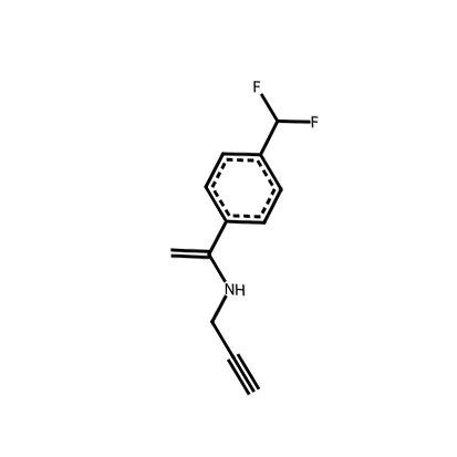 C#CCNC(=C)c1ccc(C(F)F)cc1